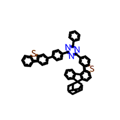 c1ccc(-c2nc(-c3ccc(-c4ccc5c(c4)sc4ccccc45)cc3)nc(-c3ccc4sc5ccc6c(c5c4c3)-c3ccccc3C63C4CC5CC(C4)CC3C5)n2)cc1